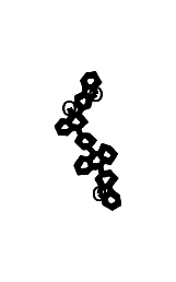 c1ccc2c(c1)oc1cc(-c3c4ccccc4c(-c4ccc(-c5cc6c7cc8oc9ccccc9c8cc7oc6c6ccccc56)cc4)c4ccccc34)ccc12